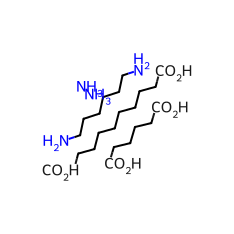 N.N.NCCCCCCN.O=C(O)CCCCC(=O)O.O=C(O)CCCCCCCCC(=O)O